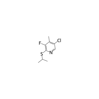 Cc1c(Cl)cnc(SC(C)C)c1F